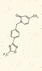 Cc1ccn(Cc2ccc(-c3noc(C(F)(F)F)n3)cc2)c(=O)c1